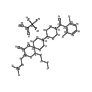 CCCCC1CN(CCN(C)C)C(=O)OC12CCN(C1CCN(C(=O)c3c(C)cccc3C)CC1)CC2.O=C(O)C(F)(F)F